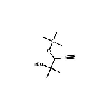 C#CC(O[Si](C)(C)C)C(C)(C)CCCC